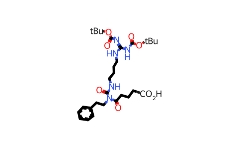 CC(C)(C)OC(=O)/N=C(\NCCCCNC(=O)N(CCc1ccccc1)C(=O)CCCC(=O)O)NC(=O)OC(C)(C)C